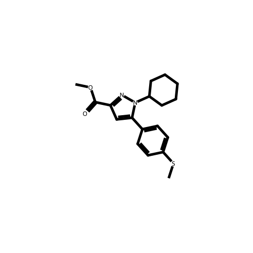 COC(=O)c1cc(-c2ccc(SC)cc2)n(C2CCCCC2)n1